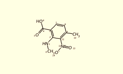 CNc1c(C(=O)O)ccc(C)c1[N+](=O)[O-]